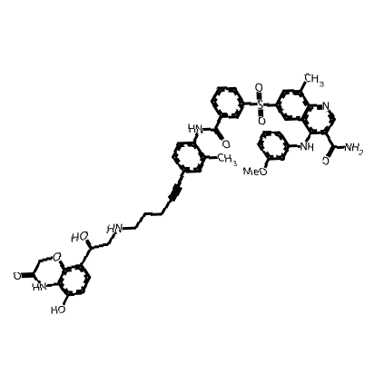 COc1cccc(Nc2c(C(N)=O)cnc3c(C)cc(S(=O)(=O)c4cccc(C(=O)Nc5ccc(C#CCCCNCC(O)c6ccc(O)c7c6OCC(=O)N7)cc5C)c4)cc23)c1